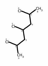 CC(Cl)CC(Cl)CC(C)Cl